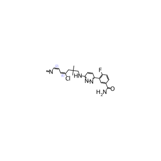 C=N/C=C\C=C(\Cl)CC(C)(C)CNc1ccc(-c2cc(C(N)=O)ccc2F)nn1